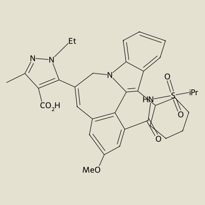 CCn1nc(C)c(C(=O)O)c1C1=Cc2cc(OC)cc(C(=O)NS(=O)(=O)C(C)C)c2-c2c(C3CCCCC3)c3ccccc3n2C1